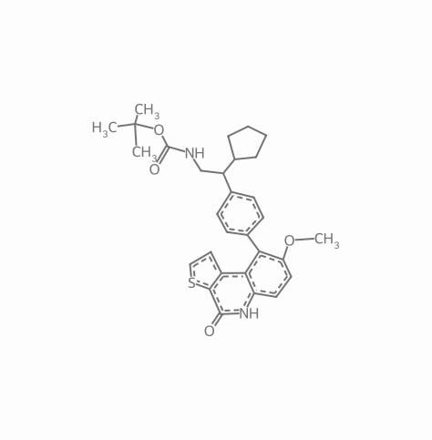 COc1ccc2[nH]c(=O)c3sccc3c2c1-c1ccc(C(CNC(=O)OC(C)(C)C)C2CCCC2)cc1